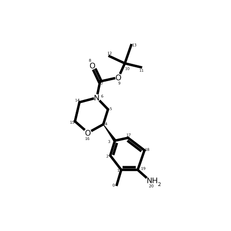 Cc1cc([C@@H]2CN(C(=O)OC(C)(C)C)CCO2)ccc1N